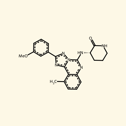 COc1cccc(-c2nc3c4c(C)cccc4nc(N[C@H]4CCCNC4=O)n3n2)c1